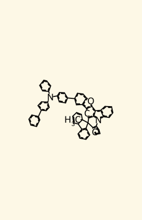 CC12C=CC=CC1c1ccccc1C21c2ccccc2-n2c3ccccc3c3c4oc5ccc(-c6ccc(N(c7ccccc7)c7ccc(-c8ccccc8)cc7)cc6)cc5c4cc1c32